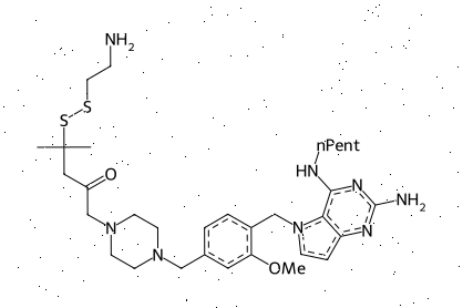 CCCCCNc1nc(N)nc2ccn(Cc3ccc(CN4CCN(CC(=O)CC(C)(C)SSCCN)CC4)cc3OC)c12